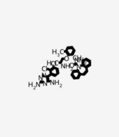 Cc1cccc(C)c1OCC(C)N.NC(=O)N1c2ccccc2C=Cc2ccccc21.Nc1nnc(-c2cccc(Cl)c2Cl)c(N)n1